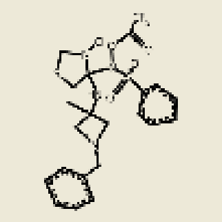 CC1(NC2(N(OC(=O)C(F)(F)F)S(=O)(=O)c3ccccc3)CSCN2Cl)CN(Cc2ccccc2)C1